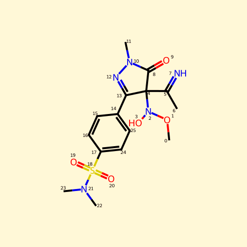 CON(O)C1(C(C)=N)C(=O)N(C)N=C1c1ccc(S(=O)(=O)N(C)C)cc1